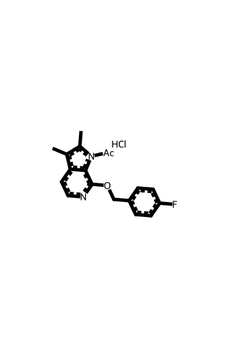 CC(=O)n1c(C)c(C)c2ccnc(OCc3ccc(F)cc3)c21.Cl